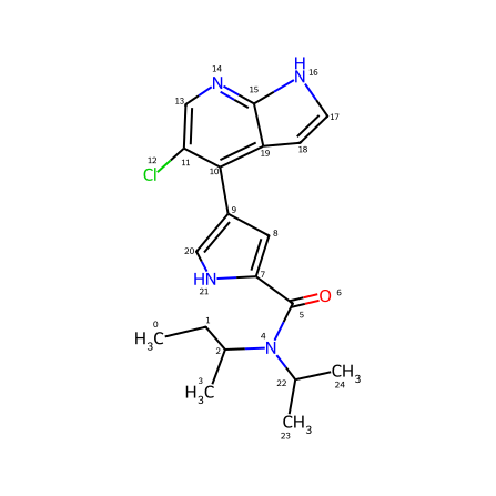 CCC(C)N(C(=O)c1cc(-c2c(Cl)cnc3[nH]ccc23)c[nH]1)C(C)C